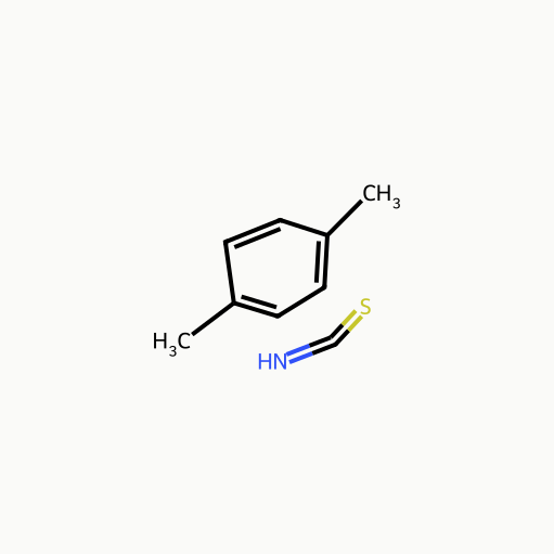 Cc1ccc(C)cc1.N=C=S